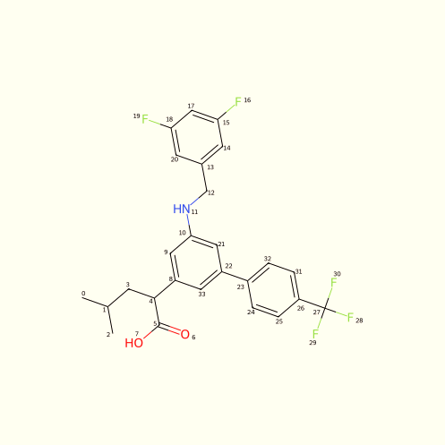 CC(C)CC(C(=O)O)c1cc(NCc2cc(F)cc(F)c2)cc(-c2ccc(C(F)(F)F)cc2)c1